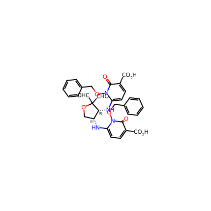 O=CC1(C=O)OC[C@@H](Nc2ccc(C(=O)O)c(=O)n2OCc2ccccc2)[C@H]1Nc1ccc(C(=O)O)c(=O)n1OCc1ccccc1